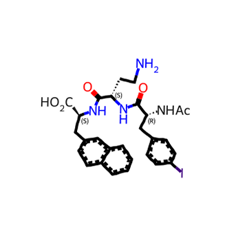 CC(=O)N[C@H](Cc1ccc(I)cc1)C(=O)N[C@@H](CCN)C(=O)N[C@@H](Cc1ccc2ccccc2c1)C(=O)O